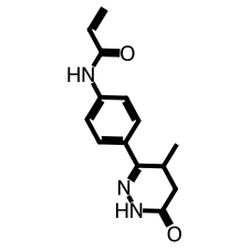 C=CC(=O)Nc1ccc(C2=NNC(=O)CC2C)cc1